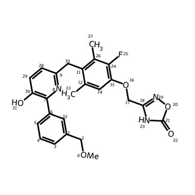 COCc1cccc(-c2nc(Cc3c(C)cc(OCc4noc(=O)[nH]4)c(F)c3C)ccc2O)c1